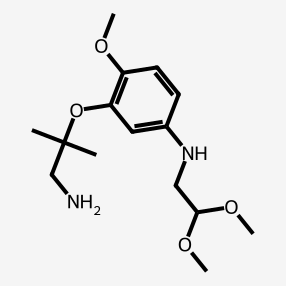 COc1ccc(NCC(OC)OC)cc1OC(C)(C)CN